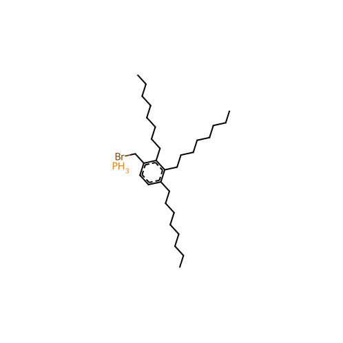 CCCCCCCCc1ccc(CBr)c(CCCCCCCC)c1CCCCCCCC.P